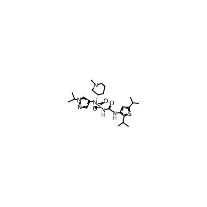 CC(C)c1cc(NC(=O)NS(=O)(=O)N(c2cnn(C(C)C)c2)[C@H]2CCCN(C)C2)c(C(C)C)s1